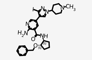 CN1CCC(n2cc(-c3cnc(N)c(C(=O)N[C@H]4CCC[C@@H]4OCc4ccccc4)c3)c(I)n2)CC1